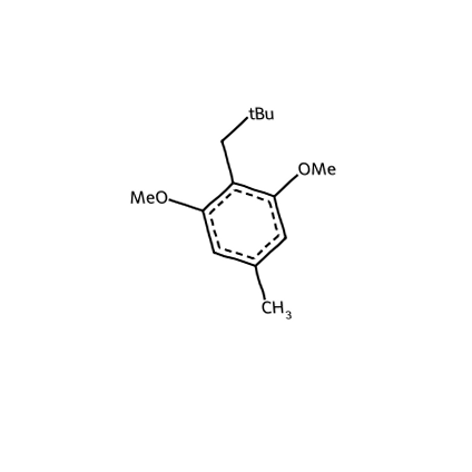 COc1cc(C)cc(OC)c1CC(C)(C)C